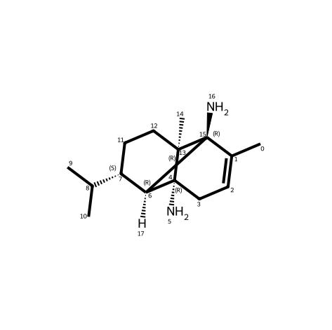 CC1=CC[C@@]2(N)[C@H]3[C@H](C(C)C)CC[C@@]2(C)[C@]13N